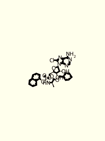 C[C@@H](N[P@@](=O)(OC[C@H]1O[C@@H](n2c(Cl)nc3c(N)ncnc32)[C@H](O)[C@H]1O)Oc1cccc2ccccc12)C(=O)OCc1ccccc1